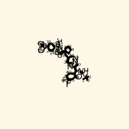 CC(C)(C)OC(=O)N[C@H](c1cn2ncc(CC3(C(=O)NS(=O)(=O)c4ccc([N+](=O)[O-])cc4)CC=CC3)cc2n1)C1CCC(F)(F)CC1